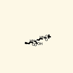 C#CCCC(=O)N[C@H](CCCCNC(=O)OC(C)(C)C)C(=O)O